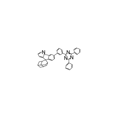 c1ccc(-c2nc(-c3ccccc3)nc(-c3cccc(-c4ccc5c(c4)-c4ncccc4C54C5CC6CC(C5)CC4C6)c3)n2)cc1